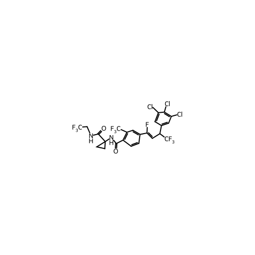 O=C(NC1(C(=O)NCC(F)(F)F)CC1)c1ccc(C(F)=CC(c2cc(Cl)c(Cl)c(Cl)c2)C(F)(F)F)cc1C(F)(F)F